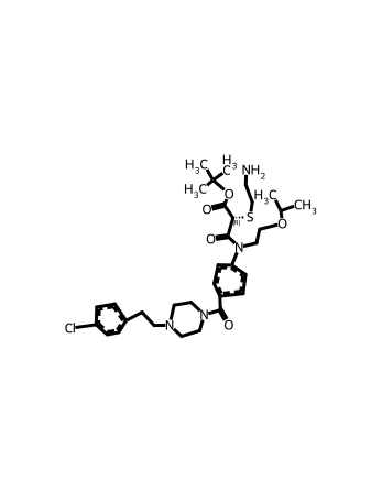 CC(C)OCCN(C(=O)[C@@H](SCCN)C(=O)OC(C)(C)C)c1ccc(C(=O)N2CCN(CCc3ccc(Cl)cc3)CC2)cc1